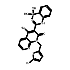 O=c1c(C2=NS(O)(O)c3ccccc3N2)c(O)c2cccnc2n1Cc1ccc(Br)s1